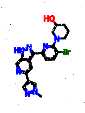 Cn1cc(-c2cc3c(-c4ccc(Br)c(N5CCCC(O)C5)n4)n[nH]c3cn2)cn1